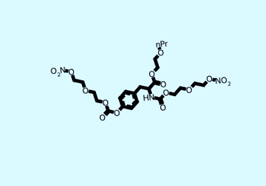 CCCOCCOC(=O)C(Cc1ccc(OC(=O)OCCOCCO[N+](=O)[O-])cc1)NC(=O)OCCOCCO[N+](=O)[O-]